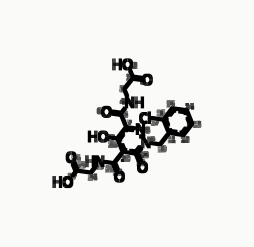 O=C(O)CNC(=O)c1nn(Cc2ccccc2Cl)c(=O)c(C(=O)NCC(=O)O)c1O